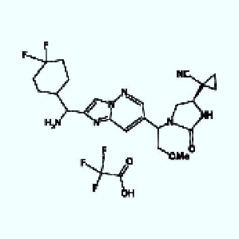 COCC(c1cnn2cc(C(N)C3CCC(F)(F)CC3)nc2c1)N1C[C@@H](C2(C#N)CC2)NC1=O.O=C(O)C(F)(F)F